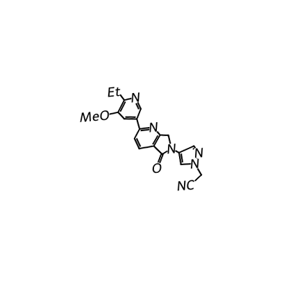 CCc1ncc(-c2ccc3c(n2)CN(c2cnn(CC#N)c2)C3=O)cc1OC